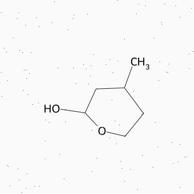 CC1CCOC(O)C1